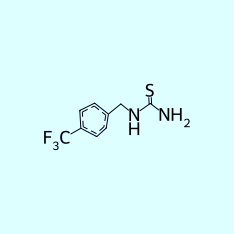 NC(=S)NCc1ccc(C(F)(F)F)cc1